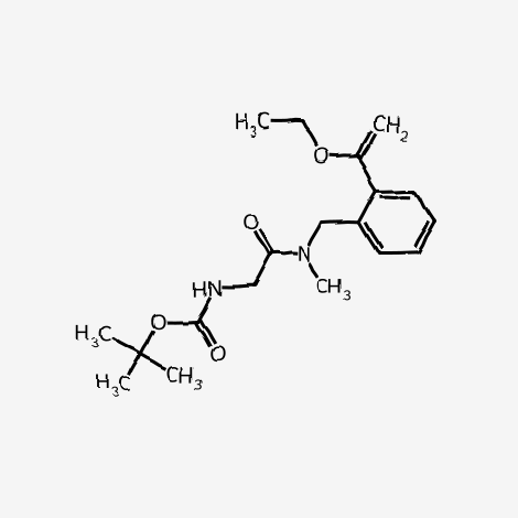 C=C(OCC)c1ccccc1CN(C)C(=O)CNC(=O)OC(C)(C)C